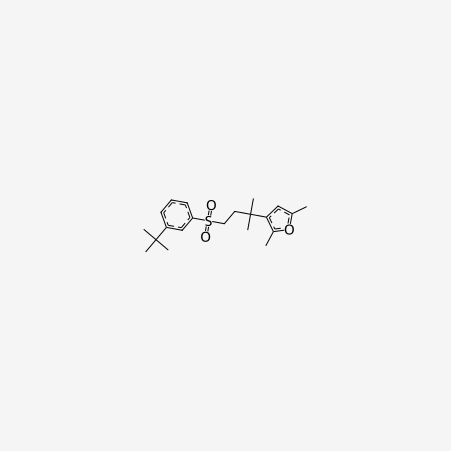 Cc1cc(C(C)(C)CCS(=O)(=O)c2cccc(C(C)(C)C)c2)c(C)o1